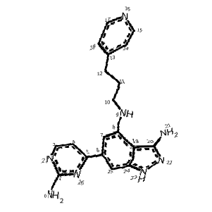 Nc1nccc(-c2cc(NCCCc3ccncc3)c3c(N)n[nH]c3c2)n1